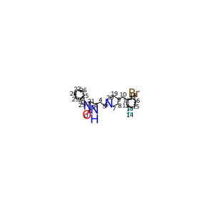 O=C1NC(CCN2CCC(Cc3cc(F)ccc3Br)CC2)CN1Cc1ccccc1